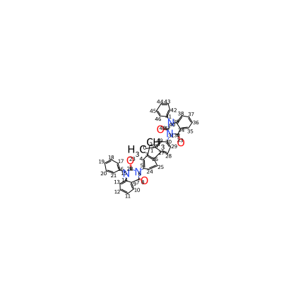 CC1(C)c2cc(-n3c(=O)c4ccccc4n(-c4ccccc4)c3=O)ccc2-c2ccc(-n3c(=O)c4ccccc4n(-c4ccccc4)c3=O)cc21